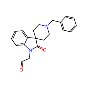 O=CCN1C(=O)C2(CCN(Cc3ccccc3)CC2)c2ccccc21